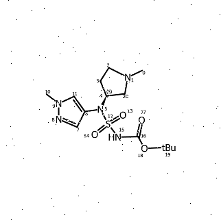 CN1CC[C@H](N(c2cnn(C)c2)S(=O)(=O)NC(=O)OC(C)(C)C)C1